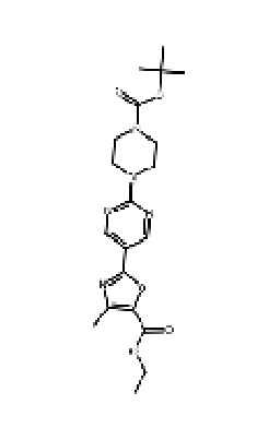 CCOC(=O)c1oc(-c2cnc(N3CCN(C(=O)OC(C)(C)C)CC3)nc2)nc1C